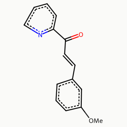 COc1cccc(/C=C/C(=O)c2ccccn2)c1